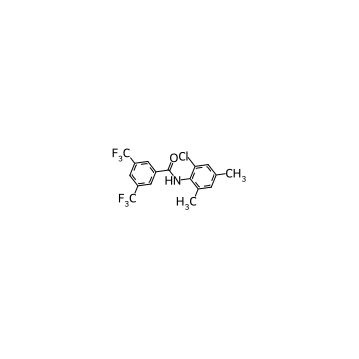 Cc1cc(C)c(NC(=O)c2cc(C(F)(F)F)cc(C(F)(F)F)c2)c(Cl)c1